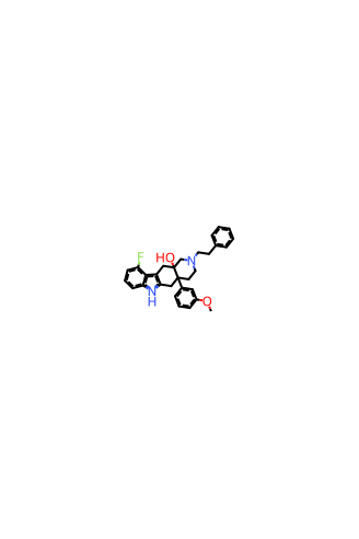 COc1cccc(C23CCN(CCc4ccccc4)CC2(O)Cc2c([nH]c4cccc(F)c24)C3)c1